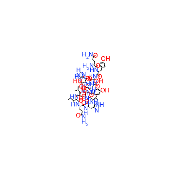 CC[C@H](C)[C@H](NC(=O)[C@@H](NC(=O)[C@H](Cc1ccc(O)cc1)NC(=O)[C@H](CC(N)=O)NC(=O)CNC(=O)[C@H](Cc1ccc(O)cc1)NC(=O)[C@@H](N)CCC(N)=O)C(C)C)C(=O)N[C@@H](CCC(N)=O)C(=O)N[C@@H](Cc1c[nH]cn1)C(=O)N[C@H](C(=O)N[C@@H](CC(C)C)C(=O)N[C@@H](CCC(=O)O)C(=O)N[C@@H](Cc1c[nH]cn1)C(=O)O)C(C)C